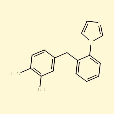 Nc1ccc(Cc2ccccc2-n2ccnc2)cc1N